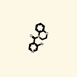 O=C(c1ccncc1Br)N1CCOc2ccccc21